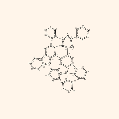 c1ccc(-c2nc(-c3ccccc3)nc(-c3cc4c(cc3-c3cccc5c3oc3ccccc35)C(c3ccccc3)(c3ccccc3)c3ccccc3-4)n2)cc1